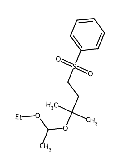 CCOC(C)OC(C)(C)CCS(=O)(=O)c1ccccc1